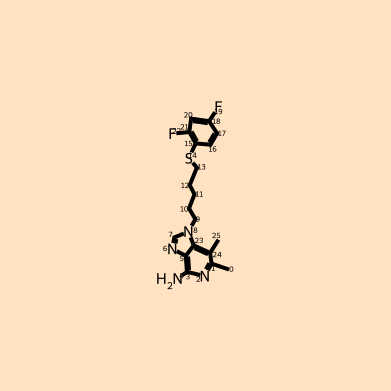 Cc1nc(N)c2ncn(CCCCCSc3ccc(F)cc3F)c2c1C